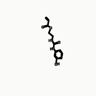 C=CC(=O)OCCNC(=O)Nc1cccc(O)c1